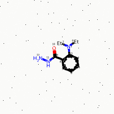 CCN(CC)c1ccccc1C(=O)NN